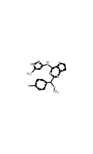 COC(c1ccc(F)cc1)c1nc(Nc2cc(C)[nH]n2)c2sccc2n1